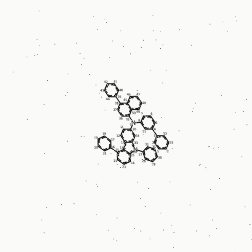 c1ccc(-c2cccc(N(c3ccc4c5c(-c6ccccc6)cccc5n(-c5ccccc5)c4c3)c3ccc(-c4ccccc4)c4ccccc34)c2)cc1